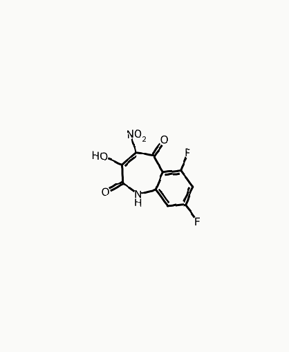 O=c1[nH]c2cc(F)cc(F)c2c(=O)c([N+](=O)[O-])c1O